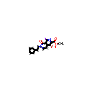 COC(=O)c1nc(I)c2c(=O)n(CCc3ccccc3)ccc2c1O